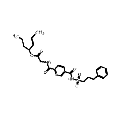 CCCC(CCC)OC(=O)CNC(=O)c1ccc(C(=O)NS(=O)(=O)CCCc2ccccc2)cn1